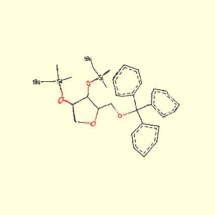 CC(C)(C)[Si](C)(C)OC1COC(COC(c2ccccc2)(c2ccccc2)c2ccccc2)C1O[Si](C)(C)C(C)(C)C